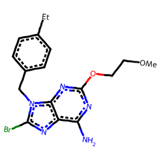 CCc1ccc(Cn2c(Br)nc3c(N)nc(OCCOC)nc32)cc1